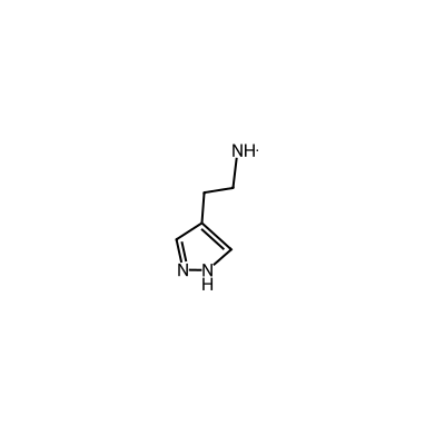 [NH]CCc1cn[nH]c1